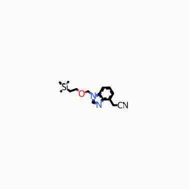 C[Si](C)(C)CCOCn1cnc2c(CC#N)cccc21